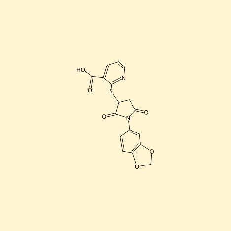 O=C(O)c1cccnc1SC1CC(=O)N(c2ccc3c(c2)OCO3)C1=O